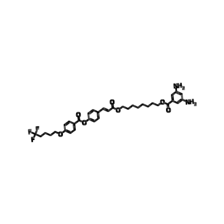 Nc1cc(N)cc(C(=O)OCCCCCCCCOC(=O)C=Cc2ccc(OC(=O)c3ccc(OCCCCC(F)(F)F)cc3)cc2)c1